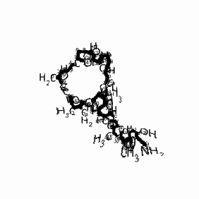 C=C1C[C@@H]2CC[C@]34CCC(O3)[C@H]3C[C@@H](O4)[C@H]4O[C@H](CC[C@@H]4O3)CC(=O)O[C@@H]3[C@@H](C)[C@@H]4O[C@@H]5C[C@]6(CC7O[C@@]8(C[C@H](C)C7O6)C[C@H](C)[C@@H]6OC(CN)[C@H](O)C[C@@H]6O8)O[C@@H]5C[C@@H]4O[C@H]3CC3O[C@@H](CCC1O2)C[C@@H](C)C3=C